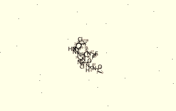 C=CC(=O)N1CC(NC(=O)c2c(Cl)nc(CNc3n[nH]c4cc(Cl)c(C(C)(C)C)cc34)n2[C@@H]2C[C@@H](C)N(CC(F)F)C2)C1